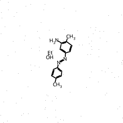 CCO.Cc1ccc(N=Nc2ccc(C)c(N)c2)cc1